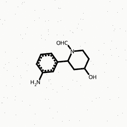 Nc1cccc(C2CC(O)CCN2C=O)c1